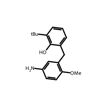 COc1ccc(N)cc1Cc1cccc(C(C)(C)C)c1O